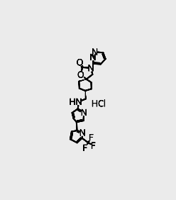 Cl.O=C1O[C@]2(CC[C@H](CNc3ccc(-c4cccc(C(F)(F)F)n4)cn3)CC2)CN1c1cccnn1